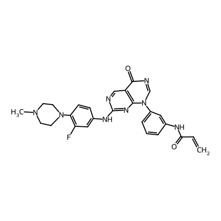 C=CC(=O)Nc1cccc(-n2cnc(=O)c3cnc(Nc4ccc(N5CCN(C)CC5)c(F)c4)nc32)c1